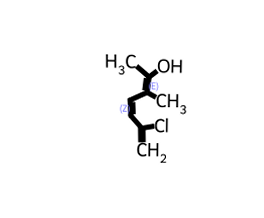 C=C(Cl)/C=C\C(C)=C(/C)O